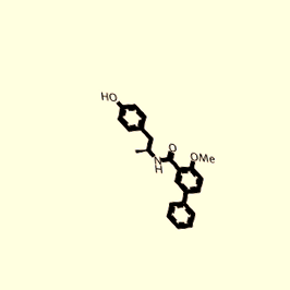 COc1ccc(-c2ccccc2)cc1C(=O)N[C@@H](C)Cc1ccc(O)cc1